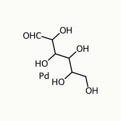 O=CC(O)C(O)C(O)C(O)CO.[Pd]